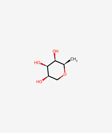 C[C@H]1OC[C@@H](O)[C@@H](O)[C@H]1O